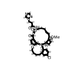 CO[C@H]1/C=C/CCCS(=O)(NC(=O)CCn2cncn2)=NC(=O)c2ccc3c(c2)N(Cc2ccc(Cl)cc2CCCCO3)C[C@@H]2CC[C@H]21